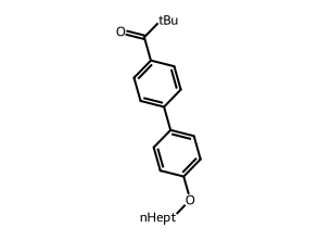 CCCCCCCOc1ccc(-c2ccc(C(=O)C(C)(C)C)cc2)cc1